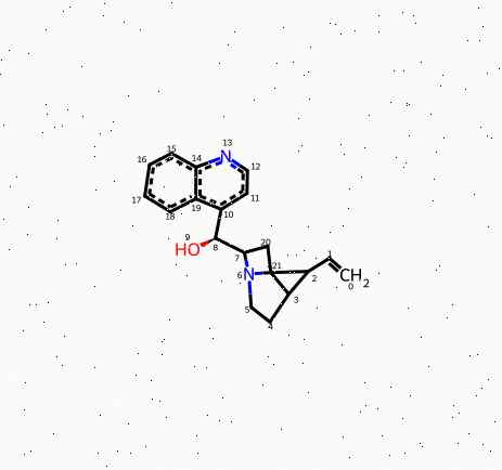 C=CC1C2CCN3C([C@@H](O)c4ccnc5ccccc45)CC123